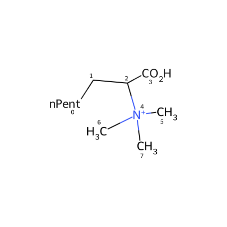 CCCCCCC(C(=O)O)[N+](C)(C)C